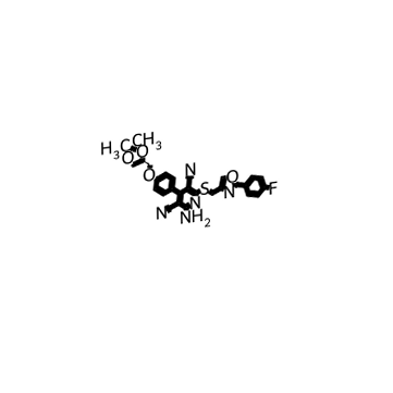 CC1(C)OC[C@@H](COc2ccc(-c3c(C#N)c(N)nc(SCc4coc(-c5ccc(F)cc5)n4)c3C#N)cc2)O1